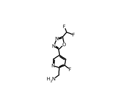 NCc1ncc(-c2nnc(C(F)F)o2)cc1F